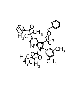 Cc1cc(C)cc(-c2c(C(C)COCc3ccccc3)c3cc(C(C)(C)C(=O)N4CC5CCC4CC5)cnc3n2C(=O)OC(C)(C)C)c1